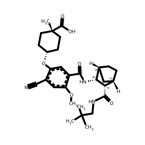 COc1cc(C#N)c(O[C@H]2CC[C@@](C)(C(=O)O)CC2)cc1C(=O)N[C@@H]1[C@@H]2CC[C@@H](C2)[C@@H]1C(=O)NCC(C)(C)C